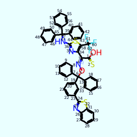 OC(=S)/C(=N\OC(c1ccccc1)(c1ccccc1)c1cccc(-c2nc3ccccc3s2)c1)c1nc(NC(c2ccccc2)(c2ccccc2)c2ccccc2)sc1C(F)(F)F